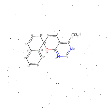 O=C(O)c1ncnc2c1C=CC1(CC=Cc3ccccc31)O2